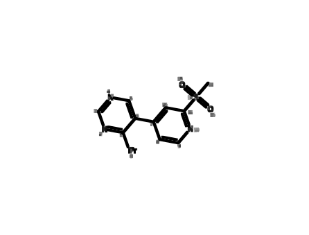 CC(C)c1ncncc1-c1ccnc(S(C)(=O)=O)c1